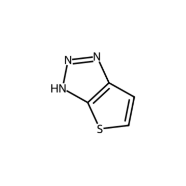 c1cc2nn[nH]c2s1